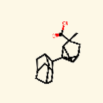 CC1(C(=O)O)CC2C=C(C3C4CC5CC(C4)CC3C5)C1C2